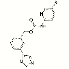 O=C(Nc1ccc(Br)cn1)OCc1cccc(-n2cnnn2)c1